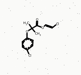 CC(C)(Oc1ccc(Cl)cc1)C(=O)OC=CCl